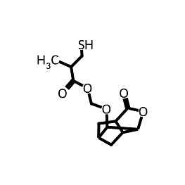 CC(CS)C(=O)OCOC1C2CC3C(=O)OC1C3C2